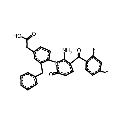 Nc1c(C(=O)c2ccc(F)cc2F)ccc(=O)n1-c1ccc(CC(=O)O)cc1Cc1ccccc1